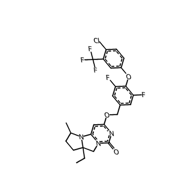 CCC12CCC(C)N1c1cc(OCc3cc(F)c(Oc4ccc(Cl)c(C(F)(F)F)c4)c(F)c3)nc(=O)n1C2